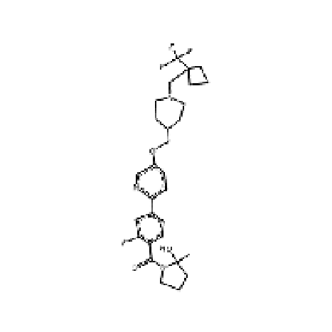 CC1(O)CCCN1C(=O)c1ccc(-c2ccc(OCC3CCN(CC4(C(F)(F)F)CCC4)CC3)cn2)cc1F